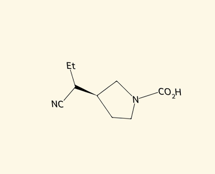 CCC(C#N)[C@@H]1CCN(C(=O)O)C1